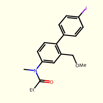 CCC(=O)N(C)c1ccc(-c2ccc(I)cc2)c(COC)c1